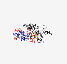 C=C(C)[C@H]1CC[C@@]2(C)SP(=S)(O[C@H]3[C@@H](O)[C@H](n4cnc5c(=O)[nH]c(O)nc54)O[C@@H]3CO[Si](C)(C)C(C)(C)C)O[C@@H]2C1